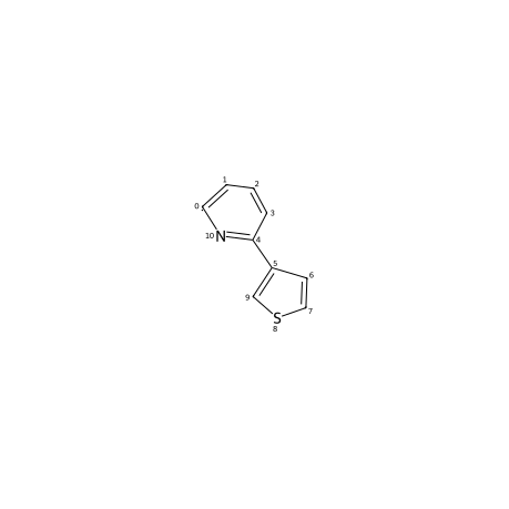 [c]1cccc(-c2ccsc2)n1